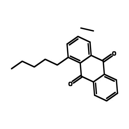 CC.CCCCCc1cccc2c1C(=O)c1ccccc1C2=O